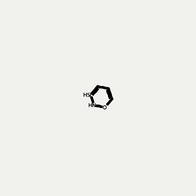 C1=CON[SiH]=C1